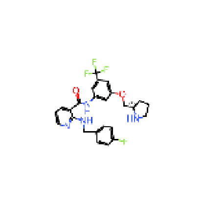 O=C(Nc1cc(OC[C@H]2CCCN2)cc(C(F)(F)F)c1)c1cccnc1NCc1ccc(F)cc1